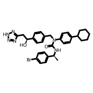 C[C@H](NC(=O)N(Cc1ccc([C@@H](O)Cc2nn[nH]n2)cc1)c1ccc(C2CCCCC2)cc1)c1ccc(Br)cc1